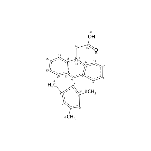 Cc1cc(C)c(-c2c3ccccc3[n+](CC(=O)O)c3ccccc23)c(C)c1